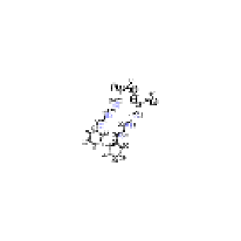 O=C(/C=C/C=C/C=C/c1ccccc1)C1CO1.O=C(/C=C/C=C/C=C/c1ccccc1)C1CO1